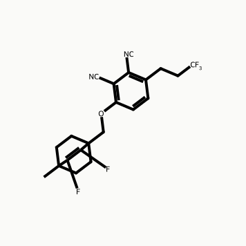 [C-]#[N+]c1c(CCC(F)(F)F)ccc(OCC23CCC(C)(CC2)C(F)=C3F)c1C#N